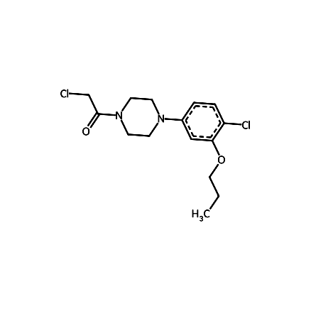 CCCOc1cc(N2CCN(C(=O)CCl)CC2)ccc1Cl